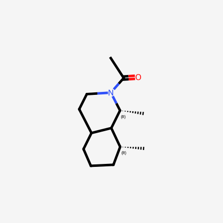 CC(=O)N1CCC2CCC[C@@H](C)C2[C@H]1C